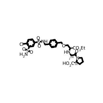 CCOC(=O)[C@H](COCc1ccc(CNS(=O)(=O)c2ccc(Cl)c(S(N)(=O)=O)c2)cc1)N[C@@H](C)C(=O)N1CCC[C@H]1C(=O)O